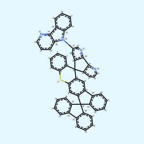 c1ccc2c(c1)Sc1cc3c(cc1C21c2cccnc2-c2ncc(-n4c5ccccc5c5ncccc54)cc21)-c1ccccc1C31c2ccccc2-c2ccccc21